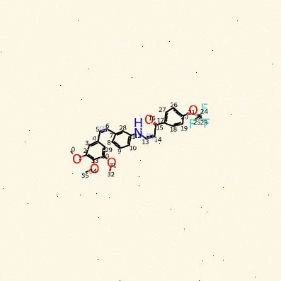 COc1cc(/C=C\c2cccc(N/C=C\C(=O)c3ccc(OC(F)(F)F)cc3)c2)cc(OC)c1OC